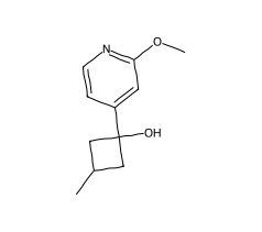 COc1cc(C2(O)CC(C)C2)ccn1